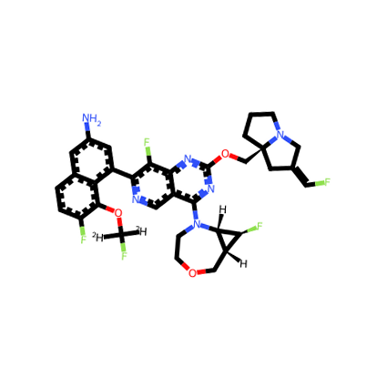 [2H]C([2H])(F)Oc1c(F)ccc2cc(N)cc(-c3ncc4c(N5CCOC[C@H]6[C@H](F)[C@H]65)nc(OC[C@@]56CCCN5C/C(=C\F)C6)nc4c3F)c12